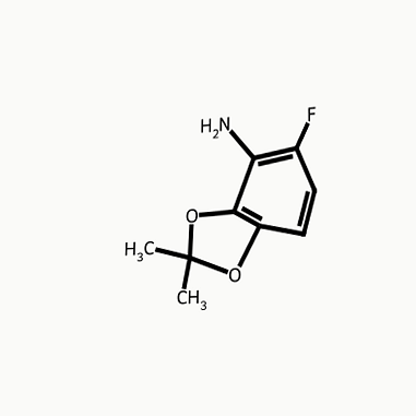 CC1(C)Oc2ccc(F)c(N)c2O1